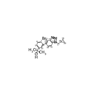 CC(C)(O)c1cccc(-c2ccc3c(nnn3CC3CC3)c2Br)c1